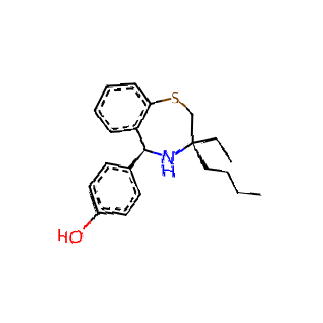 CCCC[C@]1(CC)CSc2ccccc2[C@H](c2ccc(O)cc2)N1